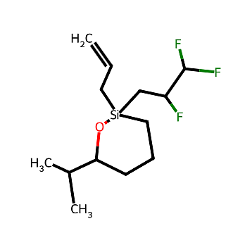 C=CC[Si]1(CC(F)C(F)F)CCCC(C(C)C)O1